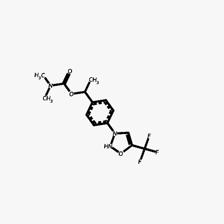 CC(OC(=O)N(C)C)c1ccc(N2C=C(C(F)(F)F)ON2)cc1